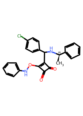 C[C@@H](NC(c1ccc(Cl)cc1)c1c(ONc2ccccc2)c(=O)c1=O)c1ccccc1